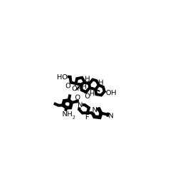 CCc1cc(C)c(C(=O)N2CCC(F)(c3ccc(C#N)cn3)CC2)cc1N.C[C@]12CC[C@@H](O)C[C@H]1CC[C@@H]1[C@@H]2C(=O)C[C@@]2(C)[C@H]1CC[C@]2(O)C(=O)CO